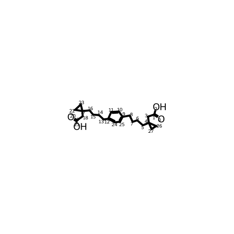 O=C(O)CC1(CCCCc2ccc(CCCCC3(CC(=O)O)CC3)cc2)CC1